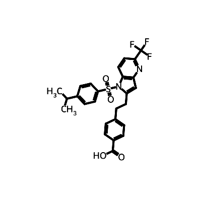 CC(C)c1ccc(S(=O)(=O)n2c(CCc3ccc(C(=O)O)cc3)cc3nc(C(F)(F)F)ccc32)cc1